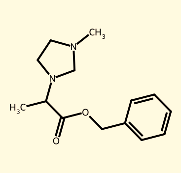 CC(C(=O)OCc1ccccc1)N1CCN(C)C1